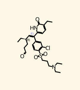 CCc1ccc(/C(=C/[C@H](CC)CCC=O)c2ccc(S(=O)(=O)CCCN(CC)CC)c(Cl)c2)[nH]c1=O